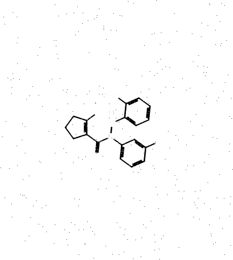 COc1ccccc1ON(C(=O)C1=C(C(=O)O)CCC1)c1cccc(C(F)(F)F)c1